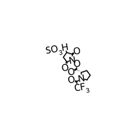 O=C(ON1C(=O)CC(S(=O)(=O)O)C1=O)[C@@H]1CCCN1C(=O)C(F)(F)F